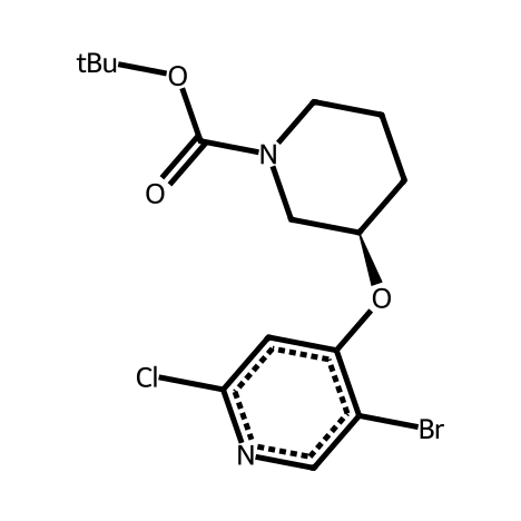 CC(C)(C)OC(=O)N1CCC[C@@H](Oc2cc(Cl)ncc2Br)C1